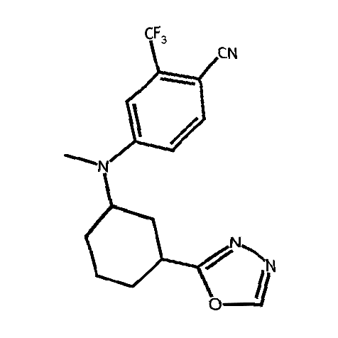 CN(c1ccc(C#N)c(C(F)(F)F)c1)C1CCCC(c2nnco2)C1